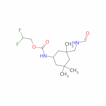 CC1(C)CC(NC(=O)OCC(F)F)CC(C)(CNC=O)C1